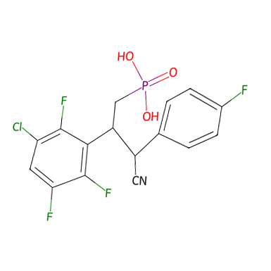 N#CC(c1ccc(F)cc1)C(CP(=O)(O)O)c1c(F)c(F)cc(Cl)c1F